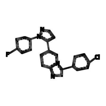 Fc1ccc(-n2nccc2-c2ccc3ncc(-c4ccc(Cl)cc4)n3c2)cc1